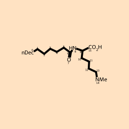 CCCCCCCCCCCCCCCC(=O)NC(CCCCNC)C(=O)O